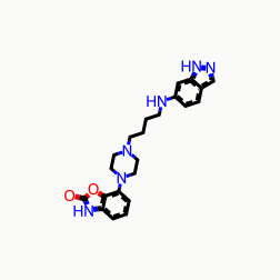 O=c1[nH]c2cccc(N3CCN(CCCCNc4ccc5cn[nH]c5c4)CC3)c2o1